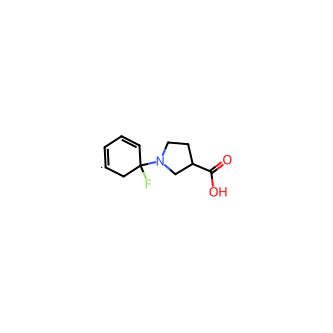 O=C(O)C1CCN(C2(F)C=CC=[C]C2)C1